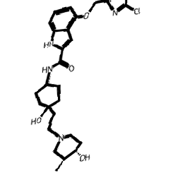 C[C@H]1CN(CCC2(O)CCC(NC(=O)c3cc4c(OCc5csc(Cl)n5)cccc4[nH]3)CC2)CC[C@@H]1O